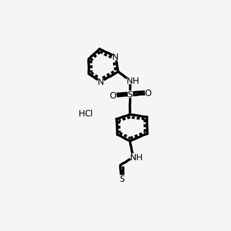 Cl.O=S(=O)(Nc1ncccn1)c1ccc(NC=S)cc1